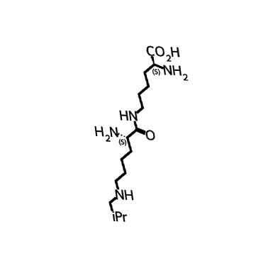 CC(C)CNCCCC[C@H](N)C(=O)NCCCC[C@H](N)C(=O)O